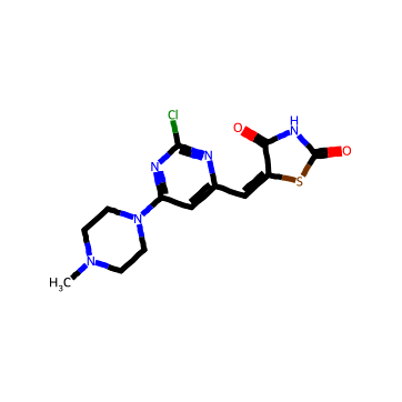 CN1CCN(c2cc(/C=C3/SC(=O)NC3=O)nc(Cl)n2)CC1